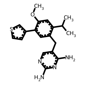 COc1cc(C(C)C)c(Cc2cnc(N)nc2N)cc1-c1ccsc1